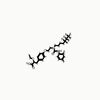 CCOC(Cc1ccc(OCCN(CCCCC(F)(F)C(F)(F)C(F)(F)F)C(=O)Nc2ccc(F)cc2F)cc1)C(=O)O